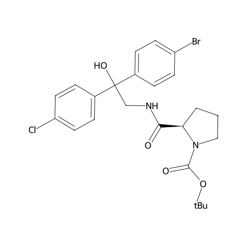 CC(C)(C)OC(=O)N1CCC[C@@H]1C(=O)NCC(O)(c1ccc(Cl)cc1)c1ccc(Br)cc1